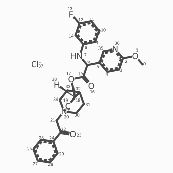 COc1ccc(C(Nc2cccc(F)c2)C(=O)O[C@H]2C[N+]3(CC(=O)c4ccccc4)CCC2CC3)cn1.[Cl-]